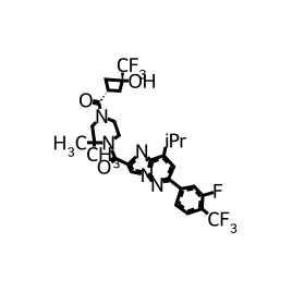 CC(C)c1cc(-c2ccc(C(F)(F)F)c(F)c2)nn2cc(C(=O)N3CCN(C(=O)[C@H]4C[C@](O)(C(F)(F)F)C4)CC3(C)C)nc12